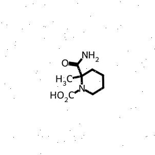 CC1(C(N)=O)CCCCN1C(=O)O